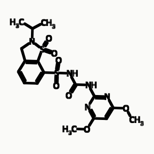 COc1cc(OC)nc(NC(=O)NS(=O)(=O)c2cccc3c2S(=O)(=O)N(C(C)C)C3)n1